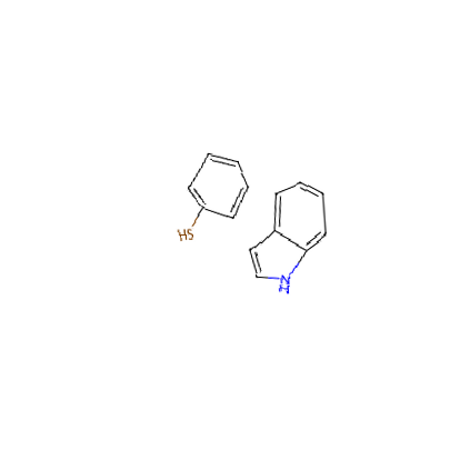 Sc1ccccc1.c1ccc2[nH]ccc2c1